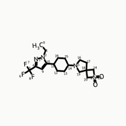 CCn1nc(C(F)(F)F)cc1C1CCC(N2CCC3(C2)CS(=O)(=O)C3)CC1